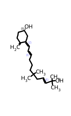 C=C1CC[C@H](O)C/C1=C/C=C/CCCC(C)(C)C/C=C/C(C)(C)O